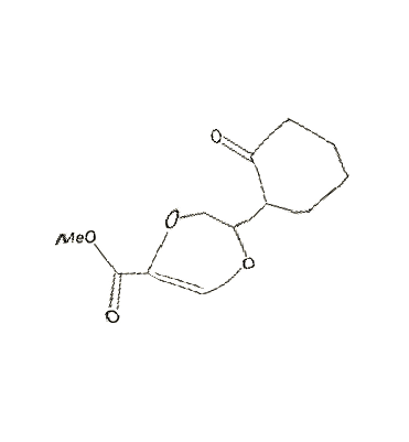 COC(=O)C1=COC(C2CCCCC2=O)O1